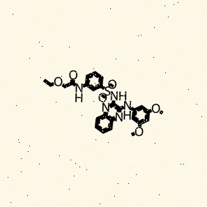 CCOCC(=O)Nc1cccc(S(=O)(=O)Nc2nc3ccccc3nc2Nc2cc(OC)cc(OC)c2)c1